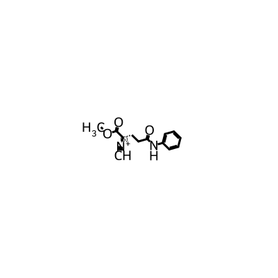 C#[N+][C@@H](CCC(=O)Nc1ccccc1)C(=O)OC